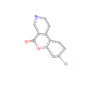 O=c1oc2cc(Cl)ccc2c2ccncc12